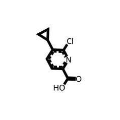 O=C(O)c1ccc(C2CC2)c(Cl)n1